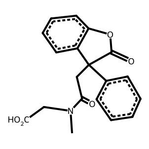 CN(CC(=O)O)C(=O)CC1(c2ccccc2)C(=O)Oc2ccccc21